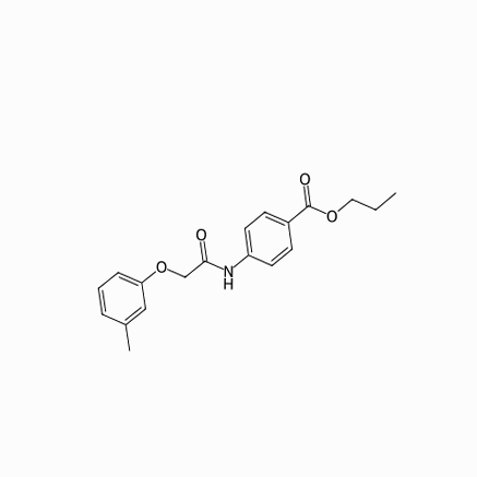 CCCOC(=O)c1ccc(NC(=O)COc2cccc(C)c2)cc1